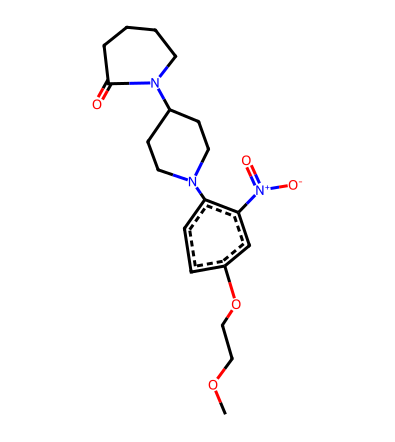 COCCOc1ccc(N2CCC(N3CCCCC3=O)CC2)c([N+](=O)[O-])c1